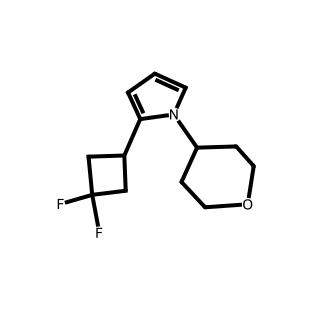 FC1(F)CC(c2cccn2C2CCOCC2)C1